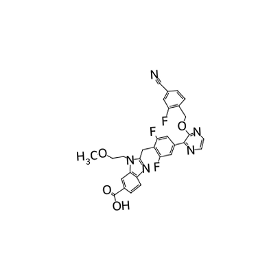 COCCn1c(Cc2c(F)cc(-c3nccnc3OCc3ccc(C#N)cc3F)cc2F)nc2ccc(C(=O)O)cc21